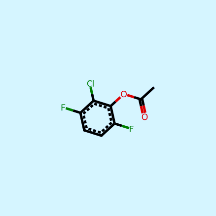 CC(=O)Oc1c(F)ccc(F)c1Cl